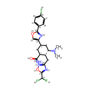 CN(C)CCC(CC(CCc1noc(C(F)F)n1)C(N)=O)c1coc(-c2ccc(F)cc2)n1